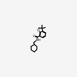 CC1(C)COc2c(C(=O)NCC3CCCCC3)cccc21